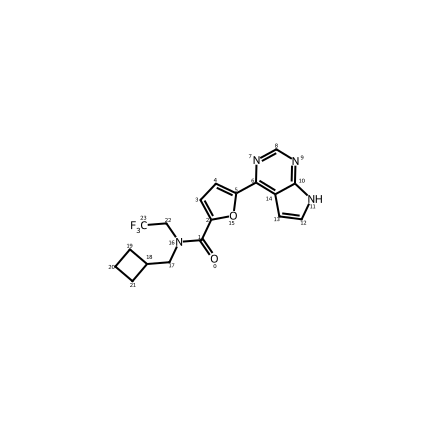 O=C(c1ccc(-c2ncnc3[nH]ccc23)o1)N(CC1CCC1)CC(F)(F)F